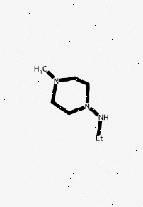 CCNN1CCN(C)CC1